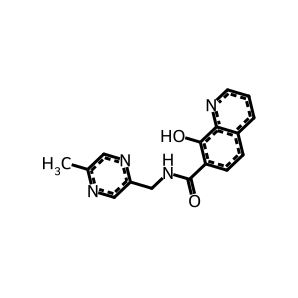 Cc1cnc(CNC(=O)c2ccc3cccnc3c2O)cn1